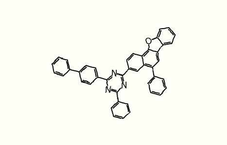 c1ccc(-c2ccc(-c3nc(-c4ccccc4)nc(-c4ccc5c(c4)c(-c4ccccc4)cc4c6ccccc6oc54)n3)cc2)cc1